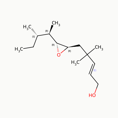 CC[C@H](C)[C@@H](C)[C@H]1O[C@@H]1CC(C)(C)/C=C/CO